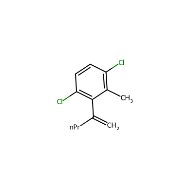 C=C(CCC)c1c(Cl)ccc(Cl)c1C